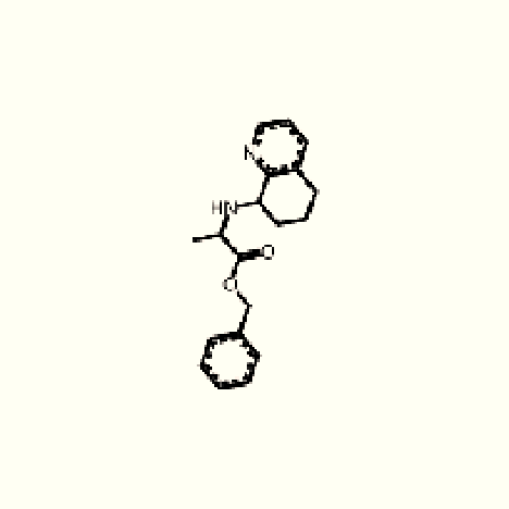 CC(NC1CCCc2cccnc21)C(=O)OCc1ccccc1